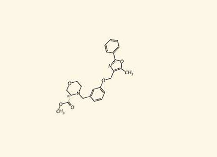 COC(=O)[C@@H]1COCCN1Cc1cccc(OCc2nc(-c3ccccc3)oc2C)c1